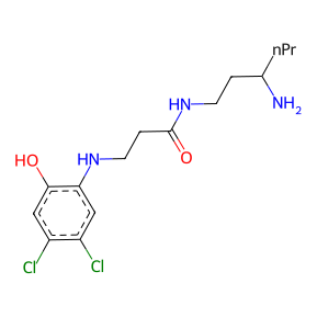 CCCC(N)CCNC(=O)CCNc1cc(Cl)c(Cl)cc1O